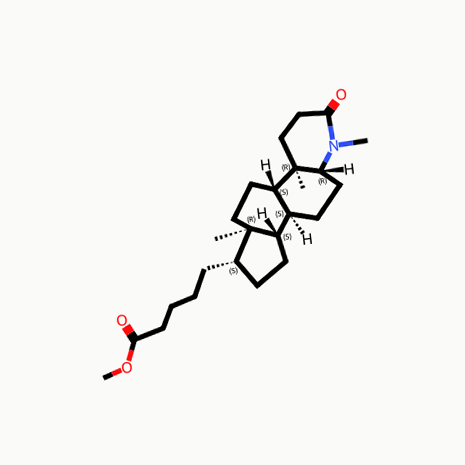 COC(=O)CCCC[C@H]1CC[C@H]2[C@@H]3CC[C@H]4N(C)C(=O)CC[C@]4(C)[C@H]3CC[C@]12C